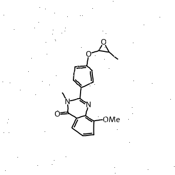 COc1cccc2c(=O)n(C)c(-c3ccc(OC4OC4C)cc3)nc12